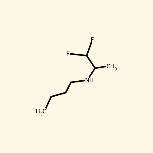 CCCCNC(C)C(F)F